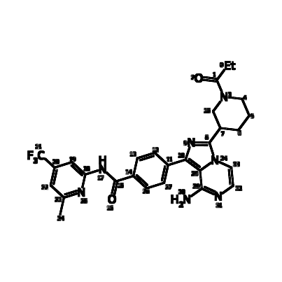 CCC(=O)N1CCCC(c2nc(-c3ccc(C(=O)Nc4cc(C(F)(F)F)cc(C)n4)cc3)c3c(N)nccn23)C1